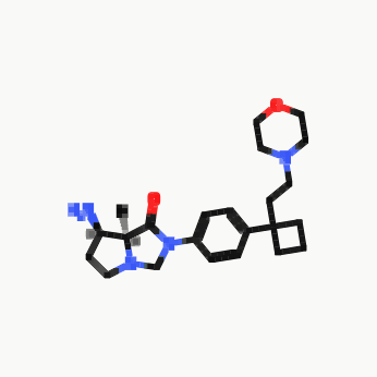 N[C@@H]1CCN2CN(c3ccc(C4(CCN5CCOCC5)CCC4)cc3)C(=O)[C@H]12